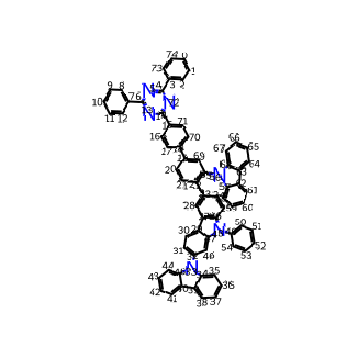 c1ccc(-c2nc(-c3ccccc3)nc(-c3ccc(-c4ccc(-c5ccc6c(c5)c5ccc(-n7c8ccccc8c8ccccc87)cc5n6-c5ccccc5)c(-n5c6ccccc6c6ccccc65)c4)cc3)n2)cc1